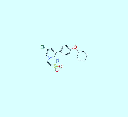 O=S1(=O)C=CN2C=C(Cl)C=C(c3ccc(OC4CCCCC4)cc3)C2=N1